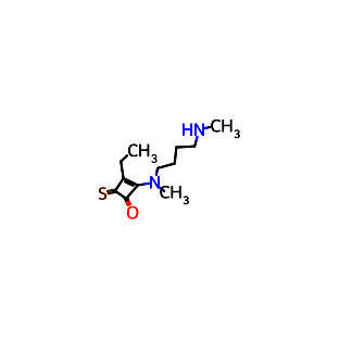 CCc1c(N(C)CCCCNC)c(=O)c1=S